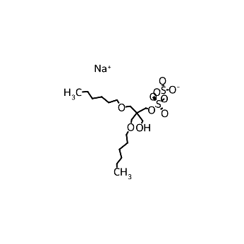 CCCCCCOCC(CO)(COCCCCCC)COS(=O)(=O)OS(=O)(=O)[O-].[Na+]